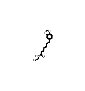 CC(C)CNC(=O)/C=C/C=C/CCc1ccc2c(c1)OCO2